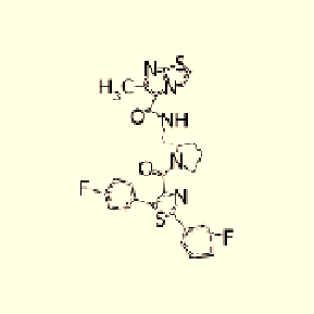 Cc1nc2sccn2c1C(=O)NC[C@@H]1CCCN1C(=O)c1nc(-c2cccc(F)c2)sc1-c1ccc(F)cc1